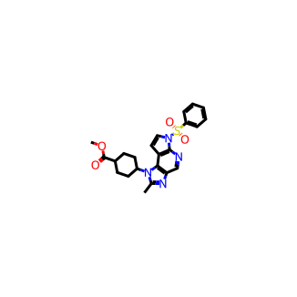 COC(=O)C1CCC(n2c(C)nc3cnc4c(ccn4S(=O)(=O)c4ccccc4)c32)CC1